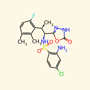 Cc1ccc(F)c([C@@H](C)[C@H](NS(=O)(=O)c2ccc(Cl)cc2N)c2n[nH]c(=O)o2)c1C